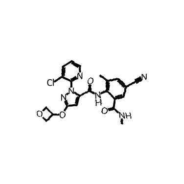 CNC(=O)c1cc(C#N)cc(C)c1NC(=O)c1cc(OC2COC2)nn1-c1ncccc1Cl